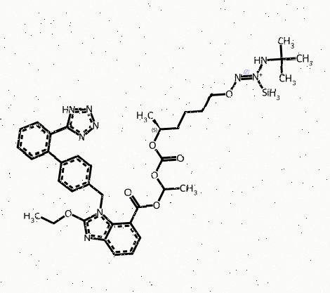 CCOc1nc2cccc(C(=O)OC(C)OC(=O)O[C@@H](C)CCCCO/N=[N+](\[SiH3])NC(C)(C)C)c2n1Cc1ccc(-c2ccccc2-c2nnn[nH]2)cc1